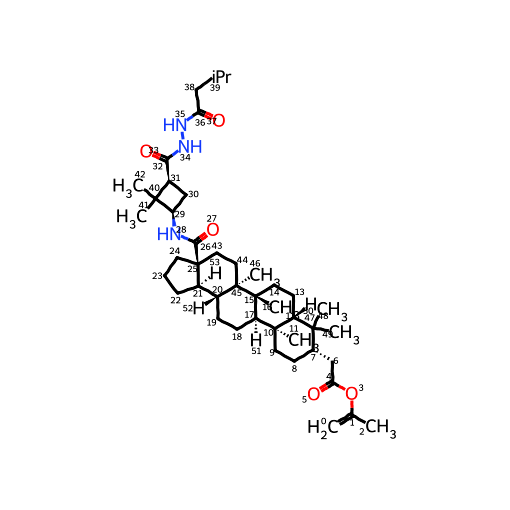 C=C(C)OC(=O)C[C@@H]1CC[C@]2(C)[C@H](CC[C@]3(C)[C@@H]2CC[C@@H]2[C@H]4CCC[C@]4(C(=O)N[C@@H]4C[C@H](C(=O)NNC(=O)CC(C)C)C4(C)C)CC[C@]23C)C1(C)C